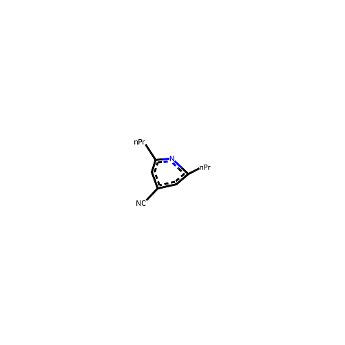 CCCc1cc(C#N)cc(CCC)n1